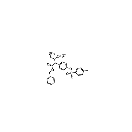 CCOC(=O)C(CN)C(C(=O)OCc1ccccc1)c1ccc(OS(=O)(=O)c2ccc(C)cc2)cc1